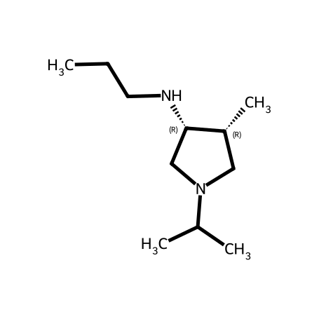 CCCN[C@H]1CN(C(C)C)C[C@H]1C